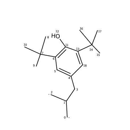 [CH2]C([CH2])Cc1cc(C(C)(C)C)c(O)c(C(C)(C)C)c1